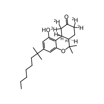 [2H]C1([2H])C[C@@H]2[C@H](c3c(O)cc(C(C)(C)CCCCCC)cc3OC2(C)C)C([2H])([2H])C1=O